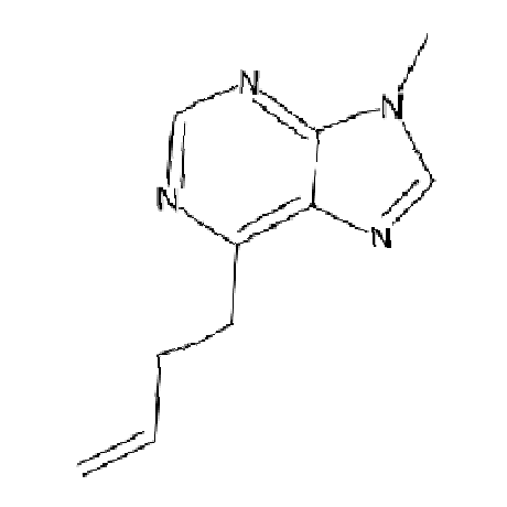 C=CCCc1ncnc2c1ncn2C